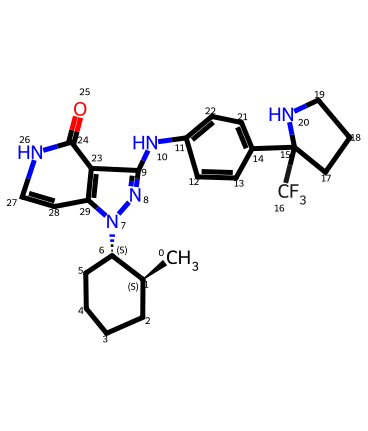 C[C@H]1CCCC[C@@H]1n1nc(Nc2ccc(C3(C(F)(F)F)CCCN3)cc2)c2c(=O)[nH]ccc21